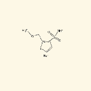 COCc1sccc1S([NH-])(=O)=O.[Na+]